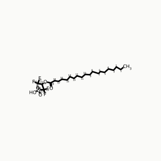 CCCCCCCCCCCCCCCCCCCC(=O)OC(C(F)(F)F)C(F)(F)S(=O)(=O)O